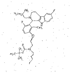 Cc1c(OCCN(CCCF)C(=O)OC(C)(C)C)ccc(F)c1C1c2[nH]c3ccc(F)cc3c2CCN1C[C@@H](C)P